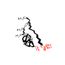 CC(C)CCCC(C)[C@H]1CC[C@H]2[C@@H]3CC=C4C[C@@H](O)CC[C@]4(C)[C@H]3CC[C@]12C.CCCCCCCCCCCCCCCCOP(=O)(O)O